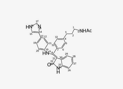 CC(=O)NCCCc1ccc(/C(Nc2ccc(-c3c[nH]cn3)cc2)=C2/C(=O)Nc3ccccc32)cc1